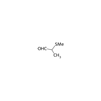 CSC(C)[C]=O